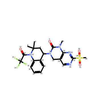 CN1C(=O)N(C2CC(C)(C)N(C(=O)C(F)(F)F)c3ccccc32)Cc2cnc(S(C)(=O)=O)nc21